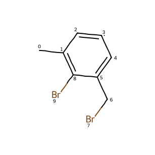 Cc1c[c]cc(CBr)c1Br